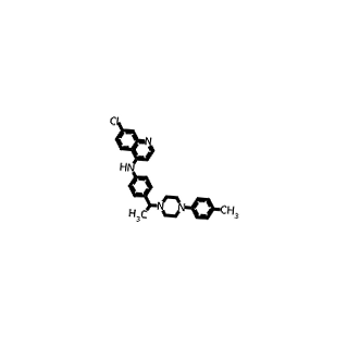 Cc1ccc(N2CCN(C(C)c3ccc(Nc4ccnc5cc(Cl)ccc45)cc3)CC2)cc1